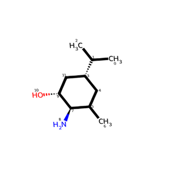 CC(C)[C@@H]1CC(C)[C@@H](N)[C@H](O)C1